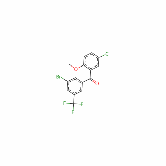 COc1ccc(Cl)cc1C(=O)c1cc(Br)cc(C(F)(F)F)c1